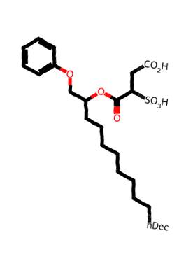 CCCCCCCCCCCCCCCCCCC(COc1ccccc1)OC(=O)C(CC(=O)O)S(=O)(=O)O